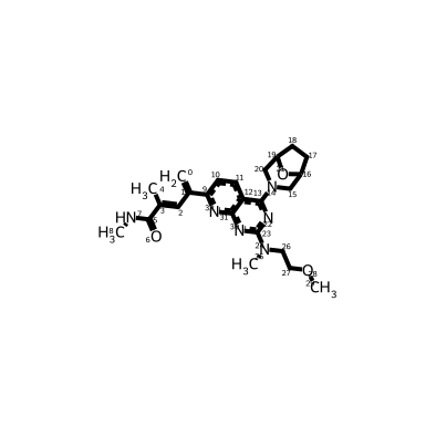 C=C(/C=C(\C)C(=O)NC)c1ccc2c(N3CC4CCC(C3)O4)nc(N(C)CCOC)nc2n1